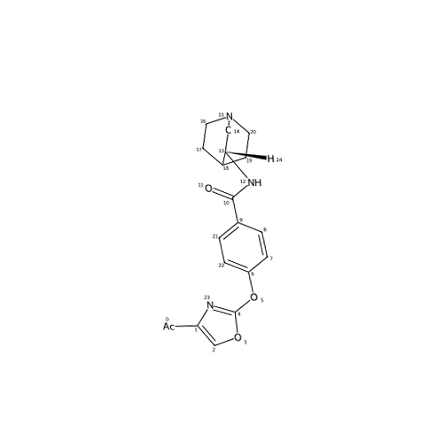 CC(=O)c1coc(Oc2ccc(C(=O)N[C@H]3CN4CCC3CC4)cc2)n1